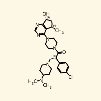 C[C@@H]1C[C@@H](O)c2ncnc(N3CCN(C(=O)[C@@H](CN4CCC(N(C)C)CC4)c4ccc(Cl)cc4)CC3)c21